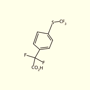 O=C(O)C(F)(F)c1ccc(SC(F)(F)F)cc1